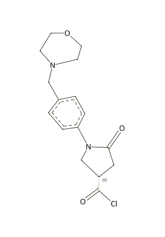 O=C(Cl)[C@H]1CC(=O)N(c2ccc(CN3CCOCC3)cc2)C1